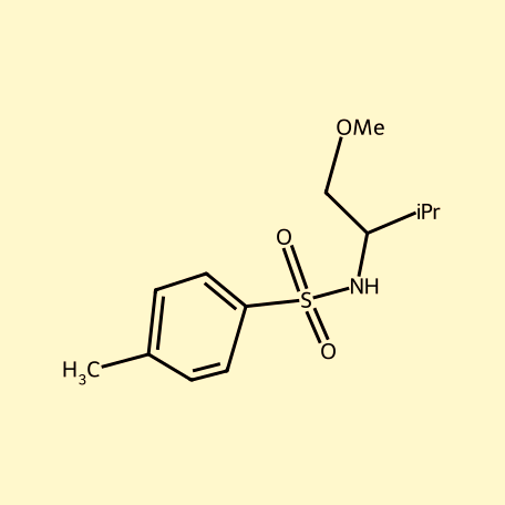 COCC(NS(=O)(=O)c1ccc(C)cc1)C(C)C